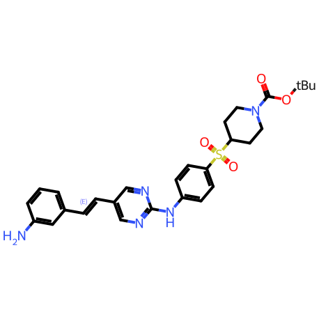 CC(C)(C)OC(=O)N1CCC(S(=O)(=O)c2ccc(Nc3ncc(/C=C/c4cccc(N)c4)cn3)cc2)CC1